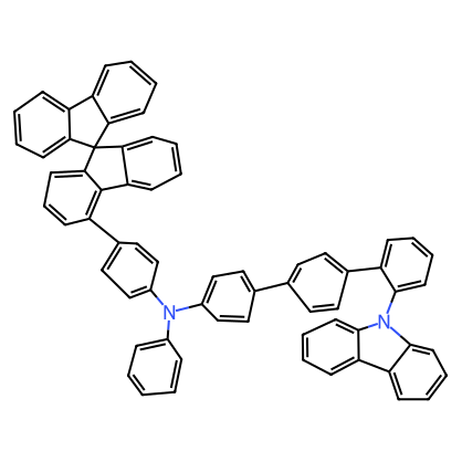 c1ccc(N(c2ccc(-c3ccc(-c4ccccc4-n4c5ccccc5c5ccccc54)cc3)cc2)c2ccc(-c3cccc4c3-c3ccccc3C43c4ccccc4-c4ccccc43)cc2)cc1